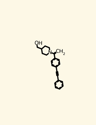 C=C(c1ccc(C#Cc2ccccc2)cc1)N1CCC(CO)CC1